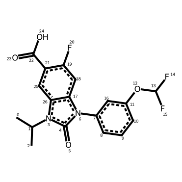 CC(C)n1c(=O)n(-c2cccc(OC(F)F)c2)c2cc(F)c(C(=O)O)cc21